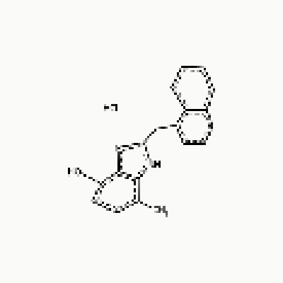 Cc1ccc(O)c2nc(Cc3cccc4ccccc34)[nH]c12.Cl